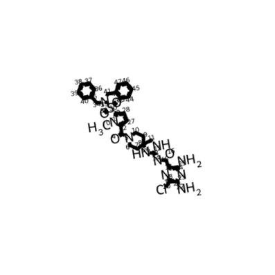 Cn1c(C(=O)N2CCC3(CC2)CN/C(=N\C(=O)c2nc(Cl)c(N)nc2N)N3)ccc1S(=O)(=O)N(Cc1ccccc1)Cc1ccccc1